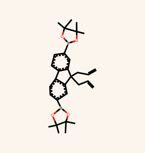 C=CCC1(CC=C)c2cc(B3OC(C)(C)C(C)(C)O3)ccc2-c2ccc(B3OC(C)(C)C(C)(C)O3)cc21